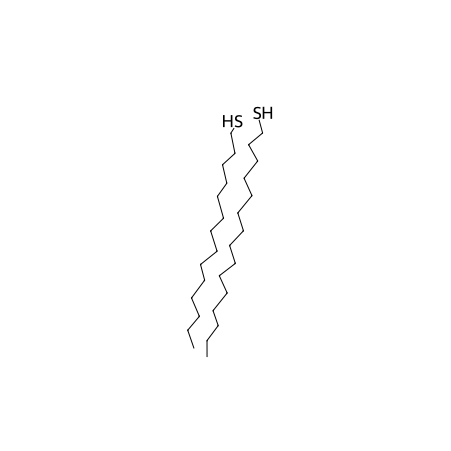 CCCCCCCCCCCCCCCS.CCCCCCCCCCCCCCS